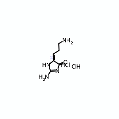 Cl.Cl.NCC/C=C1/NC(N)=NC1=O